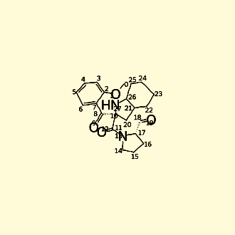 COc1ccccc1C(=O)[C@@]1(C(=O)N2CCC[C@H]2C=O)CC2CCCCC2N1